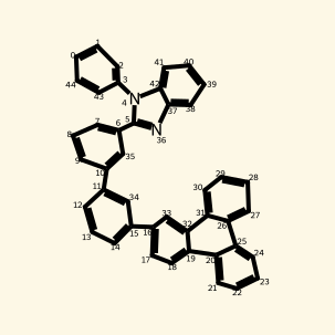 c1ccc(-n2c(-c3cccc(-c4cccc(-c5ccc6c7ccccc7c7ccccc7c6c5)c4)c3)nc3ccccc32)cc1